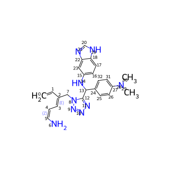 C=C/C(=C\C=C/N)Cn1nnnc1C(Nc1ccc2[nH]cnc2c1)c1ccc(N(C)C)cc1